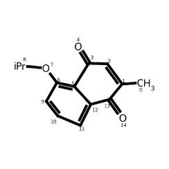 CC1=CC(=O)c2c(OC(C)C)cccc2C1=O